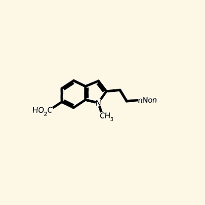 CCCCCCCCCCCc1cc2ccc(C(=O)O)cc2n1C